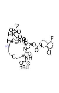 CC(C)(C)OC(=O)N[C@H]1CCCCC/C=C\[C@@H]2C[C@@]2(C(=O)NS(=O)(=O)C2CC2)NC(=O)[C@@H]2C[C@@H](OC(=O)N3CCc4c(F)ccc(Cl)c4C3)CN2C1=O